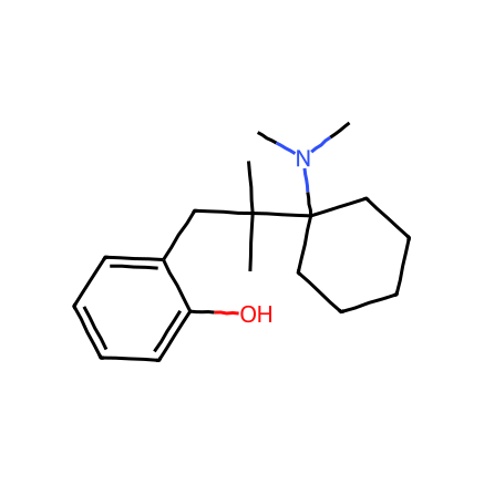 CN(C)C1(C(C)(C)Cc2ccccc2O)CCCCC1